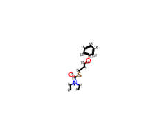 CCN(CC)C(=O)SCCCOc1ccccc1